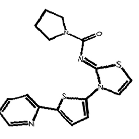 O=C(/N=c1\sccn1-c1ccc(-c2ccccn2)s1)N1CCCC1